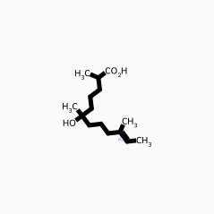 C/C=C(\C)CCCC(C)(O)CCCC(C)C(=O)O